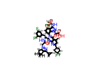 Cc1cc(C2CCC(F)(F)CC2)nc2nc([C@H](Cc3cc(F)cc(F)c3)NC(=O)Cn3nc(C4CC4)c4c3C[C@@H]3C[C@H]43)n(-c3ccc(Cl)c4c(NS(C)(=O)=O)nn(CC(=O)O)c34)c(=O)c12